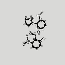 COc1ccccc1-c1ccn[nH]1.Cc1cccc([N+](=O)[O-])c1[N+](=O)[O-]